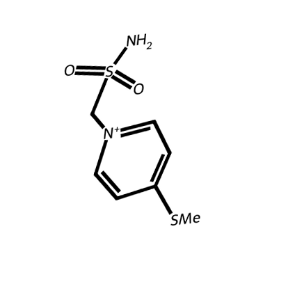 [CH2]Sc1cc[n+](CS(N)(=O)=O)cc1